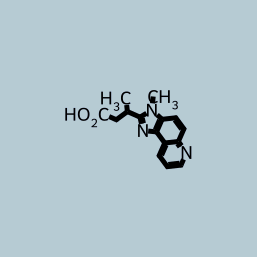 CC(CC(=O)O)c1nc2c3cccnc3ccc2n1C